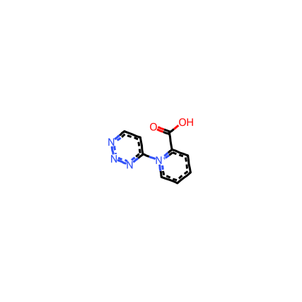 O=C(O)c1cccc[n+]1-c1ccnnn1